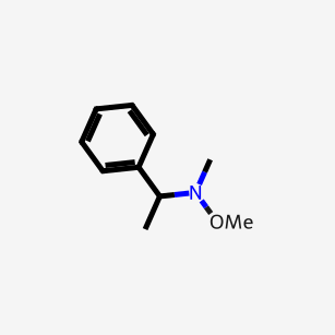 CON(C)C(C)c1ccccc1